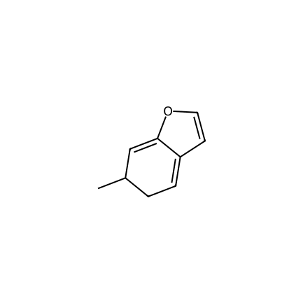 CC1C=c2occc2=CC1